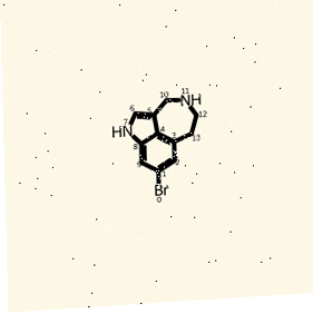 Brc1cc2c3c(c[nH]c3c1)CNCC2